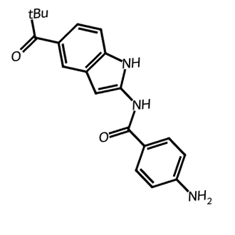 CC(C)(C)C(=O)c1ccc2[nH]c(NC(=O)c3ccc(N)cc3)cc2c1